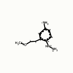 COCCc1cc(N)ccc1NN